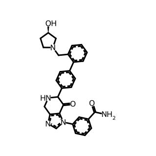 NC(=O)c1cccc(-n2cnc3c2C(=O)C(c2ccc(-c4ccccc4CN4CC[C@@H](O)C4)cc2)NC3)c1